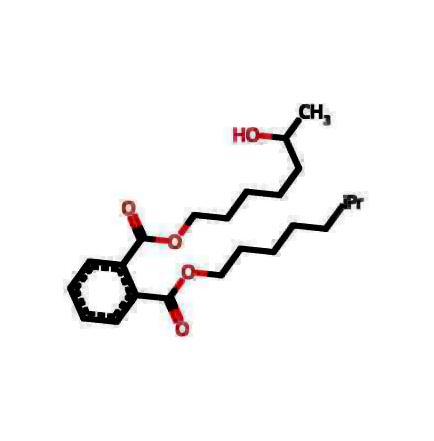 CC(C)CCCCCOC(=O)c1ccccc1C(=O)OCCCCCC(C)O